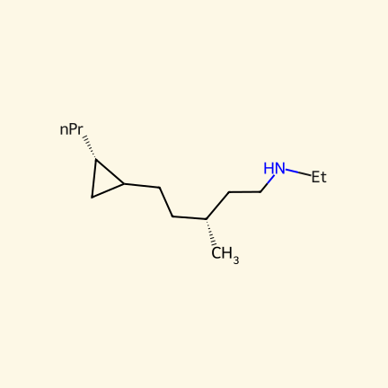 CCC[C@H]1CC1CC[C@@H](C)CCNCC